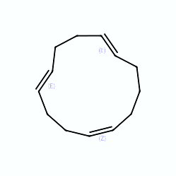 C1=C\CCC/C=C/CC/C=C/CC/1